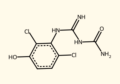 N=C(NC(N)=O)Nc1c(Cl)ccc(O)c1Cl